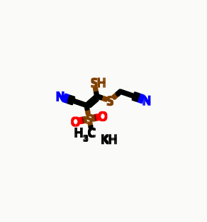 CS(=O)(=O)/C(C#N)=C(/S)SCC#N.[KH]